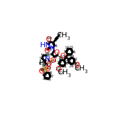 CC#Cc1cn([C@@H]2O[C@H](COC(c3ccccc3)(c3ccc(OC)cc3)c3ccc(OC)cc3)[C@@H](O[P@@]3O[C@H](CS(=O)(=O)c4ccccc4)[C@@H]4CCCN43)[C@H]2F)c(=O)[nH]c1=O